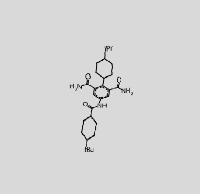 CC(C)C1CCC(c2c(C(N)=O)cc(NC(=O)C3CCC(C(C)(C)C)CC3)cc2C(N)=O)CC1